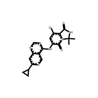 CC1(C)NC(=O)c2c(Cl)cc(Nc3ncnc4cc(C5CC5)ncc34)c(=O)n21